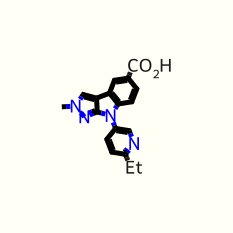 CCc1ccc(-n2c3ccc(C(=O)O)cc3c3cn(C)nc32)cn1